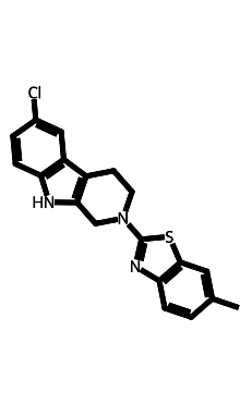 Cc1ccc2nc(N3CCc4c([nH]c5ccc(Cl)cc45)C3)sc2c1